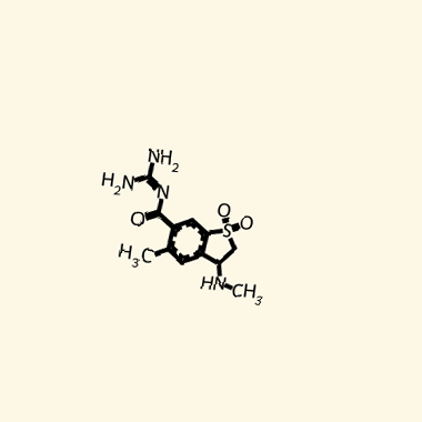 CNC1CS(=O)(=O)c2cc(C(=O)N=C(N)N)c(C)cc21